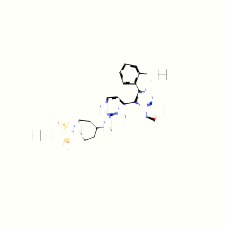 Cc1ccccc1-c1nc2occn2c1-c1ccnc(NC2CCN(S(C)(=O)=O)CC2)n1